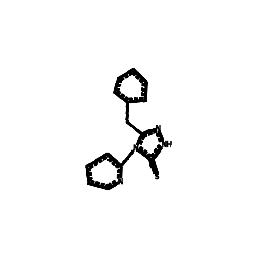 S=c1[nH]nc(Cc2ccccc2)n1-c1ccccn1